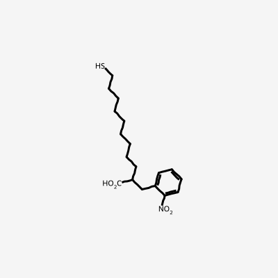 O=C(O)C(CCCCCCCCCS)Cc1ccccc1[N+](=O)[O-]